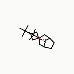 CC(C)(C)C1CC2CCC(C1)N2C1CC(C(C)(C)C)C1